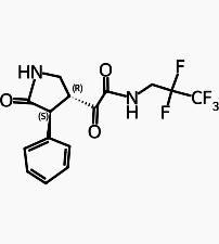 O=C(NCC(F)(F)C(F)(F)F)C(=O)[C@H]1CNC(=O)[C@@H]1c1ccccc1